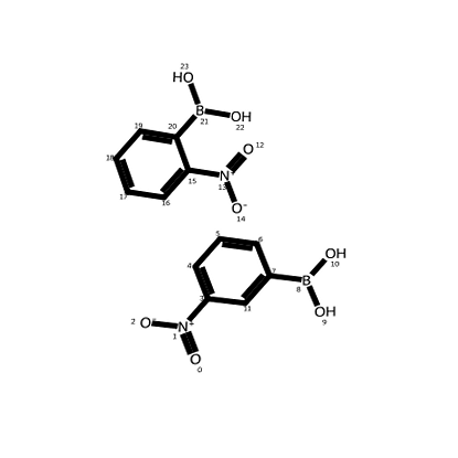 O=[N+]([O-])c1cccc(B(O)O)c1.O=[N+]([O-])c1ccccc1B(O)O